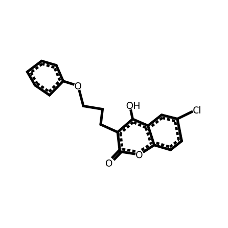 O=c1oc2ccc(Cl)cc2c(O)c1CCCOc1ccccc1